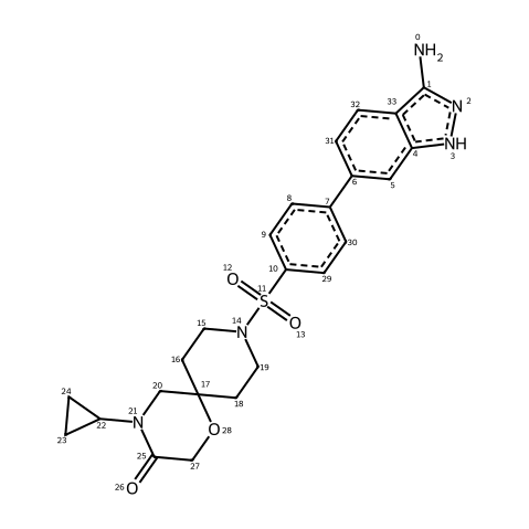 Nc1n[nH]c2cc(-c3ccc(S(=O)(=O)N4CCC5(CC4)CN(C4CC4)C(=O)CO5)cc3)ccc12